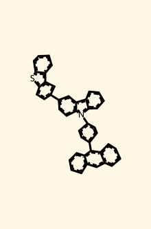 c1ccc2c(-c3ccc(-n4c5ccccc5c5cc(-c6ccc7sc8ccccc8c7c6)ccc54)cc3)c3ccccc3cc2c1